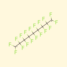 F[C](F)C(F)(F)C(F)(F)C(F)(F)C(F)(F)C(F)(F)C(F)(F)C(F)(F)[C](F)F